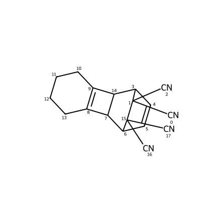 N#CC1(C#N)C2C=CC(C3C4=C(CCCC4)C32)C1(C#N)C#N